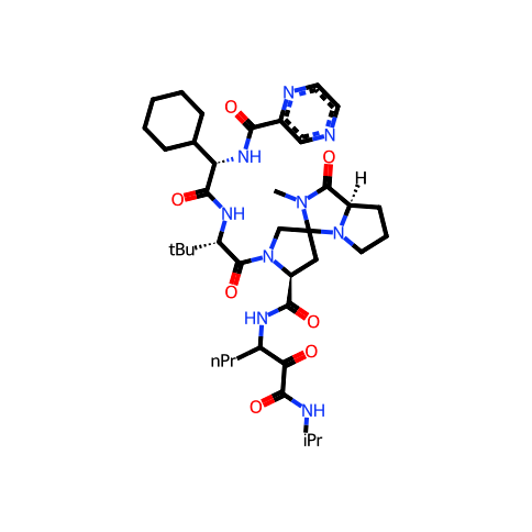 CCCC(NC(=O)[C@@H]1CC2(CN1C(=O)[C@@H](NC(=O)[C@@H](NC(=O)c1cnccn1)C1CCCCC1)C(C)(C)C)N(C)C(=O)[C@H]1CCCN12)C(=O)C(=O)NC(C)C